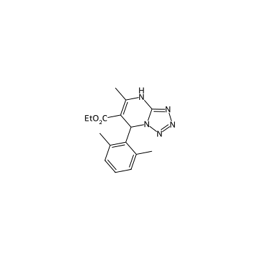 CCOC(=O)C1=C(C)Nc2nnnn2C1c1c(C)cccc1C